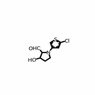 O=CC1C(O)CCN1c1csc(Cl)c1